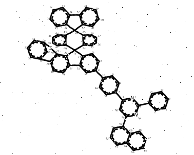 c1ccc(-c2nc(-c3ccc(-c4ccc5c(c4)-c4ccc6c(c4C54c5ccccc5C5(c7ccccc7-c7ccccc75)c5ccccc54)Sc4cccc-6c4)cc3)cc(-c3cccc4ccccc34)n2)cc1